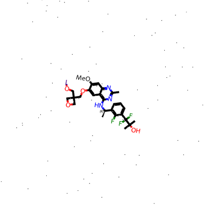 COc1cc2nc(C)nc(N[C@H](C)c3cccc(C(F)(F)C(C)(C)O)c3F)c2cc1OCC1(COI)COC1